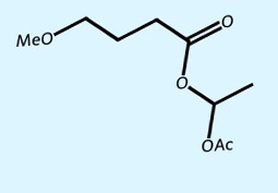 COCCCC(=O)OC(C)OC(C)=O